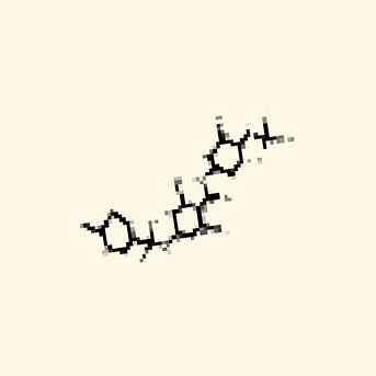 CC1CCC(C(F)(F)OC2CC(F)C(C(=O)OC3CCC(OC(F)(F)F)C(F)C3)C(F)C2)CC1